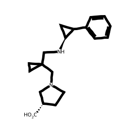 O=C(O)[C@H]1CCN(CC2(CN[C@H]3CC3c3ccccc3)CC2)C1